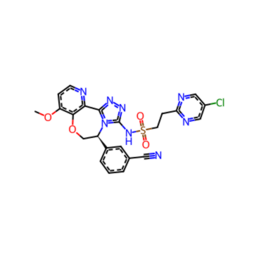 COc1ccnc2c1OC[C@H](c1cccc(C#N)c1)n1c(NS(=O)(=O)CCc3ncc(Cl)cn3)nnc1-2